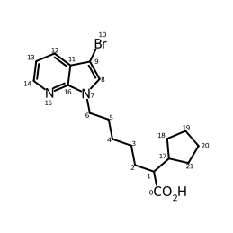 O=C(O)C(CCCCCn1cc(Br)c2cccnc21)C1CCCC1